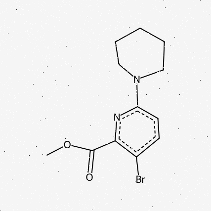 COC(=O)c1nc(N2CCCCC2)ccc1Br